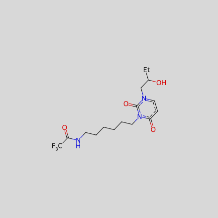 CCC(O)Cn1ccc(=O)n(CCCCCCNC(=O)C(F)(F)F)c1=O